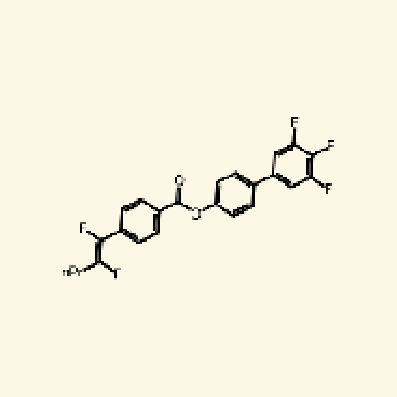 CCC/C(F)=C(\F)c1ccc(C(=O)Oc2ccc(-c3cc(F)c(F)c(F)c3)cc2)cc1